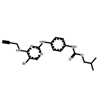 C#CCNc1nc(Nc2ccc(NC(=O)OCC(C)C)cc2)ncc1Br